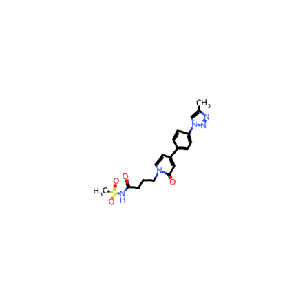 Cc1cn(-c2ccc(-c3ccn(CCCC(=O)NS(C)(=O)=O)c(=O)c3)cc2)nn1